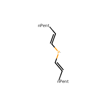 CCCCC/C=C/[P]/C=C/CCCCC